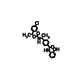 C[C@H](OC(=O)N[C@H](C)c1ccc(C(=O)Nc2ccccc2O)cc1)c1ccc(Cl)cc1